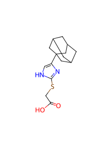 O=C(O)CSc1nc(C23CC4CC(CC(C4)C2)C3)c[nH]1